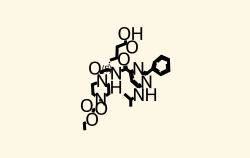 CCOC(=O)ON1CCN(C(=O)[C@H](CCCC(=O)O)NC(=O)c2cc(NC(C)C)nc(-c3ccccc3)n2)CC1